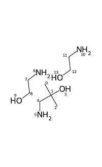 CC(C)(O)CN.NCCO.NCCO